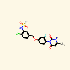 CCS(=O)(=O)Nc1cc(COc2ccc(-n3c(=O)cc(C(F)(F)F)n(C)c3=O)c(F)c2)ccc1Cl